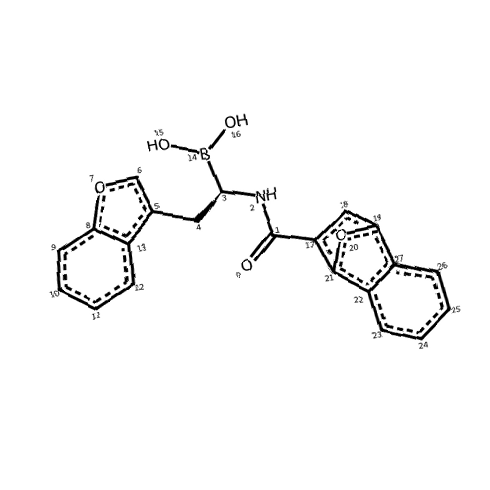 O=C(N[C@@H](Cc1coc2ccccc12)B(O)O)c1cc2oc1c1ccccc21